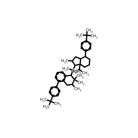 CC1CC2C(c3ccc(C(C)(C)C)cc3)CCCC2(C(C)C)C1S(C)(C)C1c2cccc(-c3ccc(C(C)(C)C)cc3)c2CC(C)C1(C)C